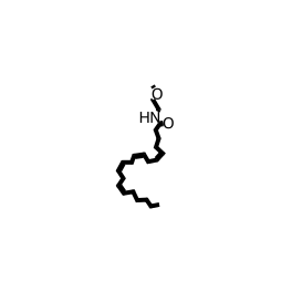 CCCCC/C=C\C/C=C\C/C=C\C/C=C\CCCC(=O)NCCOC